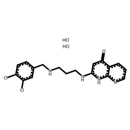 Cl.Cl.O=c1cc(NCCCNCc2ccc(Cl)c(Cl)c2)[nH]c2ncccc12